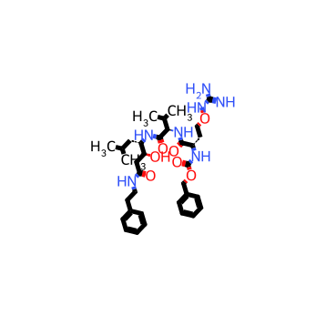 CC(C)C[C@H](NC(=O)[C@@H](NC(=O)[C@H](CCONC(=N)N)NC(=O)OCc1ccccc1)C(C)C)[C@@H](O)CC(=O)NCCc1ccccc1